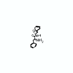 N[C@@H](Cc1ccccc1)C(=O)N[C@H](CO)Cc1ccccc1